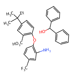 CCC(C)(C)c1ccc(Oc2ccc(C(F)(F)F)cc2N)c(C(=O)O)c1.OC(c1ccccc1)c1ccccc1